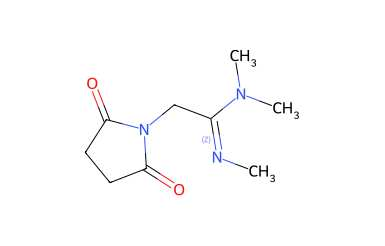 C/N=C(/CN1C(=O)CCC1=O)N(C)C